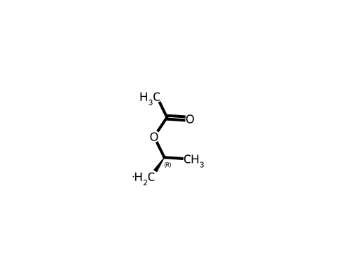 [CH2][C@H](C)OC(C)=O